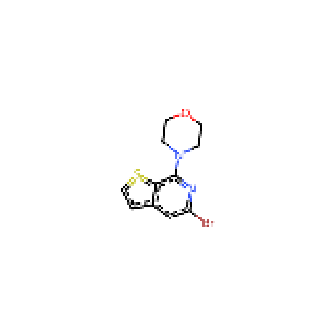 Brc1cc2ccsc2c(N2CCOCC2)n1